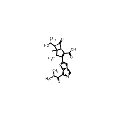 C[C@@H](O)[C@H]1C(=O)N2C(C(=O)O)=C(c3cn4cnc(C(=O)N(C)C)c4s3)[C@H](C)[C@H]12